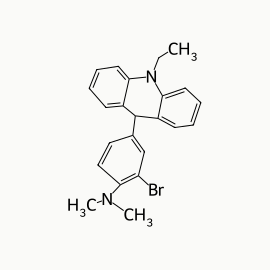 CCN1c2ccccc2C(c2ccc(N(C)C)c(Br)c2)c2ccccc21